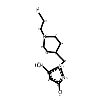 Nc1cc(Cl)nn1CC1CCN(CCF)CC1